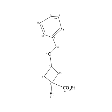 CCOC(=O)C1(CC)CC(OCc2ccccc2)C1